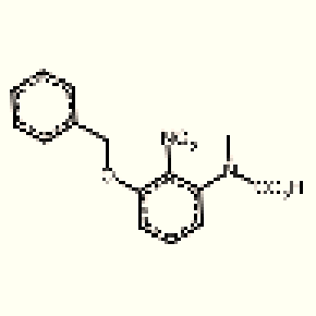 CN(C(=O)O)c1cccc(OCc2ccccc2)c1[N+](=O)[O-]